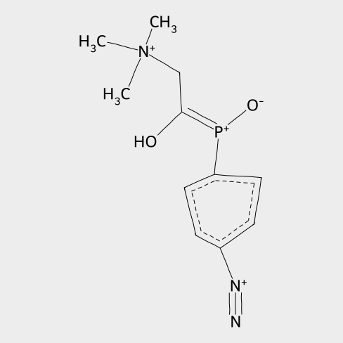 C[N+](C)(C)C/C(O)=[P+](\[O-])c1ccc([N+]#N)cc1